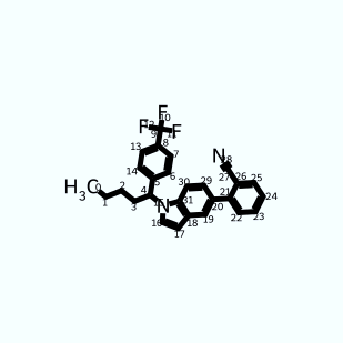 CCCCC(c1ccc(C(F)(F)F)cc1)n1ccc2cc(-c3ccccc3C#N)ccc21